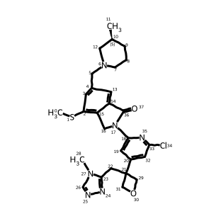 CSc1cc(CN2CCC[C@H](C)C2)cc2c1CN(c1cc(C3(Cc4nncn4C)COC3)cc(Cl)n1)C2=O